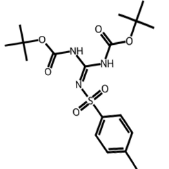 Cc1ccc(S(=O)(=O)N=C(NC(=O)OC(C)(C)C)NC(=O)OC(C)(C)C)cc1